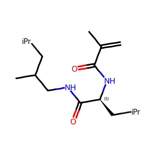 C=C(C)C(=O)N[C@@H](CC(C)C)C(=O)NCC(C)CC(C)C